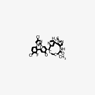 C[C@@H]1CCC[C@@H](c2coc(-c3c(-n4cc(Cl)nn4)ccc(Cl)c3F)cc2=O)c2cc(ccn2)-c2c(cnn2C)NC1=O